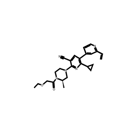 C=Cc1cc(-c2cc(C#N)c(N3CCN(C(=O)COCC)[C@H](C)C3)nc2C2CC2)ccn1